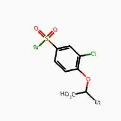 CCC(Oc1ccc(S(=O)(=O)Br)cc1Cl)C(=O)O